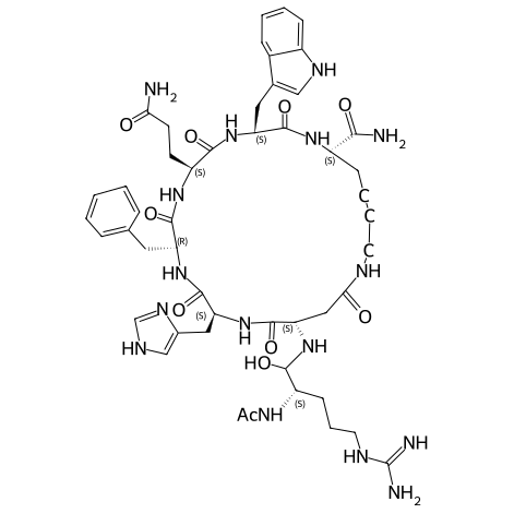 CC(=O)N[C@@H](CCCNC(=N)N)C(O)N[C@H]1CC(=O)NCCCC[C@@H](C(N)=O)NC(=O)[C@H](Cc2c[nH]c3ccccc23)NC(=O)[C@H](CCC(N)=O)NC(=O)[C@@H](Cc2ccccc2)NC(=O)[C@H](Cc2c[nH]cn2)NC1=O